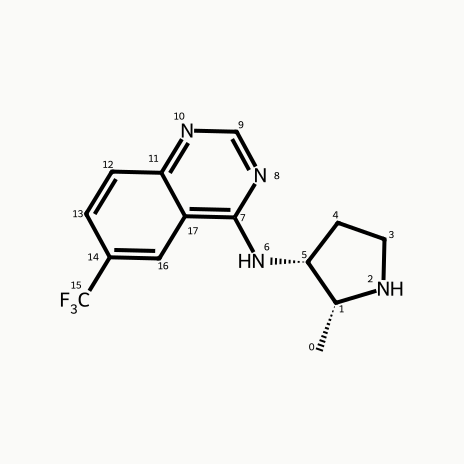 C[C@H]1NCC[C@H]1Nc1ncnc2ccc(C(F)(F)F)cc12